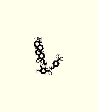 CCCC1(C(=O)NCc2cc(C(=O)NCc3ccc(C(=O)OC)cc3)ccc2F)CC[C@]2(C)C(CCC3C4(C)CCC(O)C(C)(C)C4CCC32C)C1C